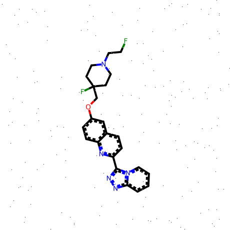 FCCN1CCC(F)(COc2ccc3nc(-c4nnc5ccccn45)ccc3c2)CC1